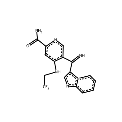 N=C(c1cnc(C(N)=O)cc1NCC(F)(F)F)c1cnc2ccccn12